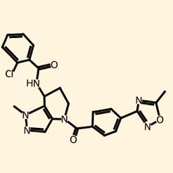 Cc1nc(-c2ccc(C(=O)N3CCC(NC(=O)c4ccccc4Cl)c4c3cnn4C)cc2)no1